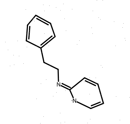 C1=C[N]C(=NCCc2ccccc2)C=C1